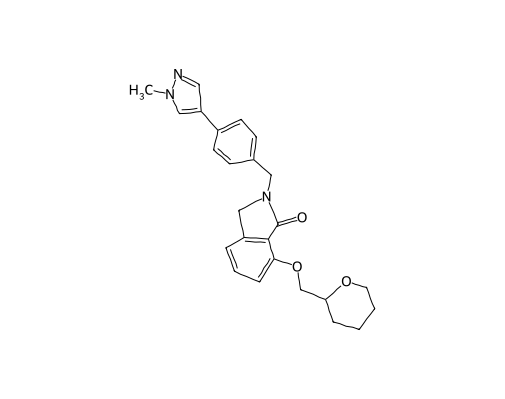 Cn1cc(-c2ccc(CN3Cc4cccc(OCC5CCCCO5)c4C3=O)cc2)cn1